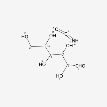 N=C=O.O=CC(O)C(O)C(O)C(O)CO